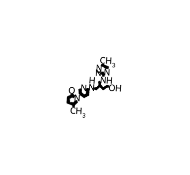 Cc1ccc(=O)n(-c2ccc(NCC(CCO)CNc3ncc(C)nn3)nc2)c1